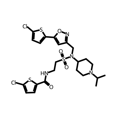 CC(C)N1CCC(N(Cc2cc(-c3ccc(Cl)s3)on2)S(=O)(=O)CCNC(=O)c2ccc(Cl)s2)CC1